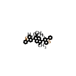 Cc1cc(-c2ccc3c4c(cccc24)Sc2ccccc2-3)c2ccc3c([Si](C)(C)C)cc(-c4ccc5c6c(cccc46)Sc4ccccc4-5)c4ccc1c2c43